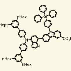 CCCCCCCc1cc(CCCCCC)cc(-c2ccc(N(c3ccc(-c4cc(CCCCCC)cc(CCCCCC)c4)cc3)c3ccc(-c4ccc5c6cc(C(=O)OCC)ccc6n(-c6ccc([Si](c7ccccc7)(c7ccccc7)c7ccccc7)cc6)c5c4)c4nsnc34)cc2)c1